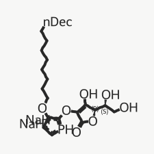 CCCCCCCCCCCCCCCCCCOc1cc[pH]c1OC1=C(O)[C@@H]([C@@H](O)CO)OC1=O.[NaH].[NaH]